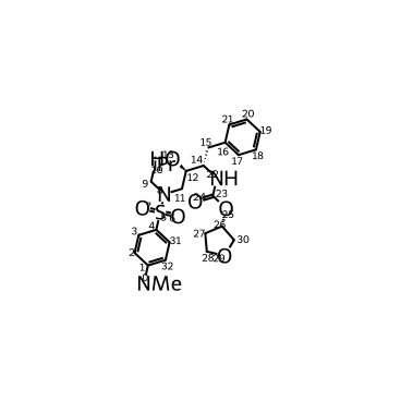 CNc1ccc(S(=O)(=O)N(CC(C)C)C[C@@H](O)[C@H](Cc2ccccc2)NC(=O)O[C@H]2CCOC2)cc1